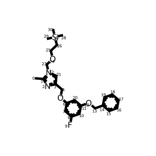 Cc1nc(COc2cc(F)cc(OCc3ccccc3)c2)cn1COCC[Si](C)(C)C